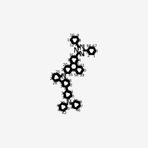 c1ccc(-c2nc(-c3ccccc3)nc(-c3ccc4c5ccc(-n6c7ccccc7c7cc(-c8ccc(N(c9ccccc9)c9ccccc9)cc8)ccc76)cc5c5ccccc5c4c3)n2)cc1